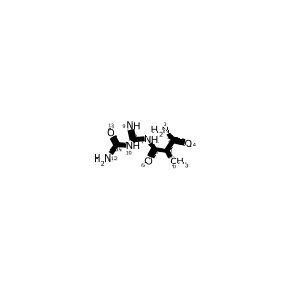 C[C](C(N)=O)C(=O)NC(=N)NC(N)=O